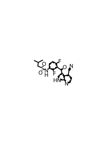 CC(C)CS(=O)(=O)Nc1ccc(F)c(C(=O)c2c[nH]c3nccc(C#N)c23)c1F